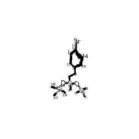 C[Si](C)(C)O[Si](C)(CCc1ccc(Br)cc1)O[Si](C)(C)C